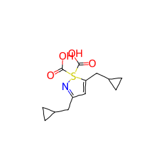 O=C(O)S1(C(=O)O)N=C(CC2CC2)C=C1CC1CC1